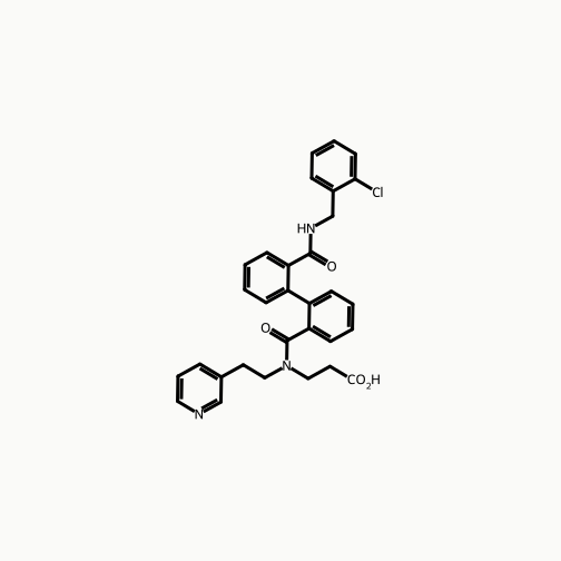 O=C(O)CCN(CCc1cccnc1)C(=O)c1ccccc1-c1ccccc1C(=O)NCc1ccccc1Cl